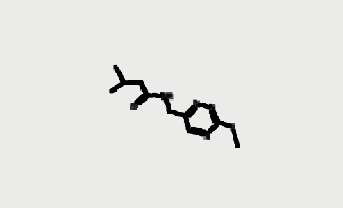 CSc1ncc(CNC(=O)CC(C)C)nn1